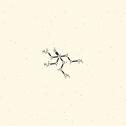 CO[O][Ti](=[O])([O]C)([O]C)[O]OC